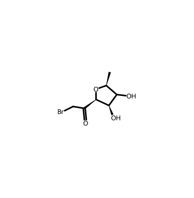 C[C@@H]1O[C@H](C(=O)CBr)[C@H](O)C1O